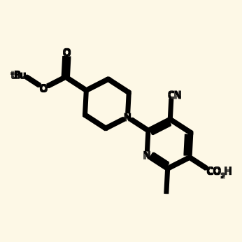 Cc1nc(N2CCC(C(=O)OC(C)(C)C)CC2)c(C#N)cc1C(=O)O